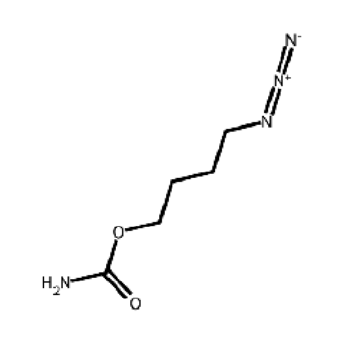 [N-]=[N+]=NCCCCOC(N)=O